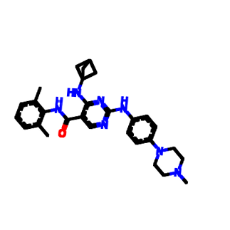 Cc1cccc(C)c1NC(=O)c1cnc(Nc2ccc(N3CCN(C)CC3)cc2)nc1NC12CC(C1)C2